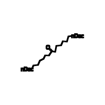 CCCCCCCCCCCCCCCCC(=O)CCCCCCCCCCCCCCCC